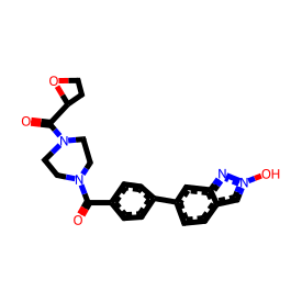 O=C(c1ccc(-c2ccc3cn(O)nc3c2)cc1)N1CCN(C(=O)C2CCO2)CC1